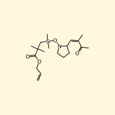 C=CCOC(=O)C(C)(C)C[Si](C)(C)ON1CCCC1C=C(C)C(C)=O